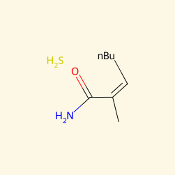 CCCCC=C(C)C(N)=O.S